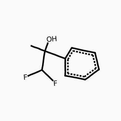 CC(O)(c1ccccc1)C(F)F